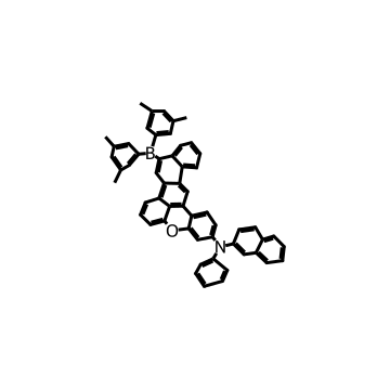 Cc1cc(C)cc(B(c2cc(C)cc(C)c2)c2cc3c4cccc5c4c(cc3c3ccccc23)-c2ccc(N(c3ccccc3)c3ccc4ccccc4c3)cc2O5)c1